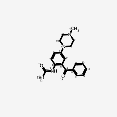 CN1CCN(c2ccc(NC(=O)C(C)(C)C)c(C(=O)c3ccccc3)c2)CC1